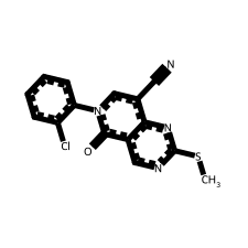 CSc1ncc2c(=O)n(-c3ccccc3Cl)cc(C#N)c2n1